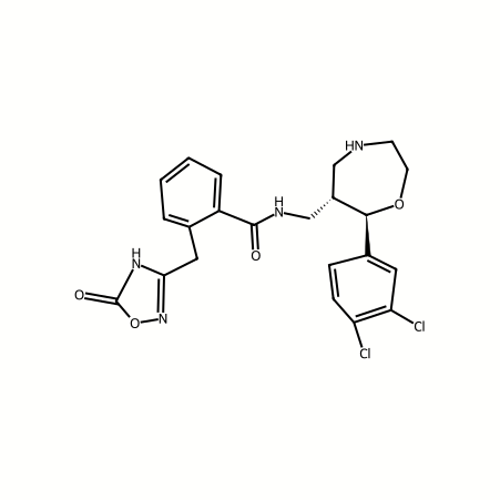 O=C(NC[C@@H]1CNCCO[C@H]1c1ccc(Cl)c(Cl)c1)c1ccccc1Cc1noc(=O)[nH]1